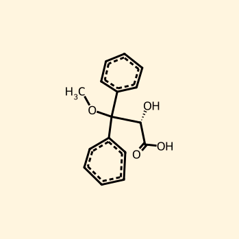 COC(c1ccccc1)(c1ccccc1)[C@H](O)C(=O)O